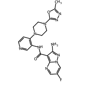 Cc1nnc(N2CCN(c3ccncc3NC(=O)c3c(N)nn4cc(F)cnc34)CC2)o1